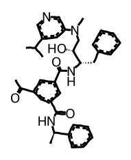 CC(=O)c1cc(C(=O)N[C@@H](Cc2ccccc2)[C@H](O)CN(C)c2cncc(C(C)C)c2)cc(C(=O)N[C@H](C)c2ccccc2)c1